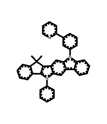 CC1(C)c2ccccc2-c2c1c1cc3c(cc1n2-c1ccccc1)c1ccccc1n3-c1cccc(-c2ccccn2)c1